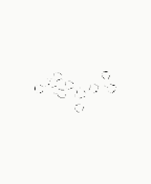 c1ccc(-c2cc(-c3ccc(-n4c5ccccc5c5ccccc54)cc3)nc(-c3ccc(-c4cccc5nc(-c6ccccc6)c6oc7ccccc7c6c45)cc3)n2)cc1